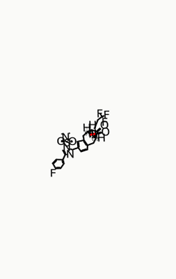 CN(C)S(=O)(=O)n1cc(-c2ccc(F)cc2)nc1-c1ccc2c(c1)C[C@H]1CC[C@@H](C2)[C@]12CN(CC(F)(F)F)S(=O)(=O)N2